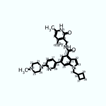 CCCc1cc(C)[nH]c(=O)c1CNC(=O)c1cc(-c2ccc(N3CCN(C)CC3)nc2)cc2c1ccn2CC1CCC1